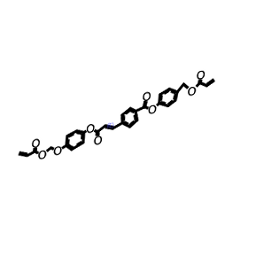 C=CC(=O)OCOc1ccc(OC(=O)/C=C/c2ccc(C(=O)Oc3ccc(COC(=O)C=C)cc3)cc2)cc1